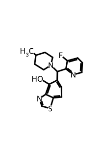 CC1CCN(C(c2ccc3scnc3c2O)c2ncccc2F)CC1